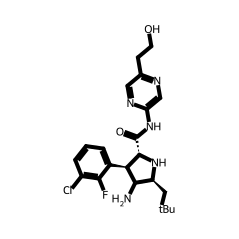 CC(C)(C)C[C@@H]1N[C@@H](C(=O)Nc2cnc(CCO)cn2)[C@H](c2cccc(Cl)c2F)C1N